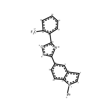 CC(C)n1ccc2cc(-c3noc(-c4ccccc4C(F)(F)F)n3)ccc21